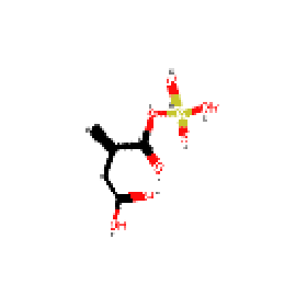 C=C(CC(=O)O)C(=O)OS(=O)(=O)O